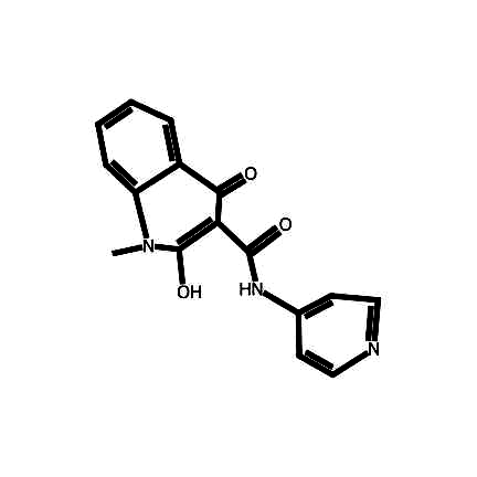 Cn1c(O)c(C(=O)Nc2ccncc2)c(=O)c2ccccc21